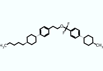 CCCCC[C@H]1CC[C@H](c2ccc(CCOC(F)(F)c3ccc([C@H]4CC[C@H](C)CC4)cc3)cc2)CC1